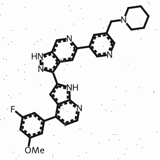 COc1cc(F)cc(-c2ccnc3[nH]c(-c4n[nH]c5cnc(-c6cncc(CN7CCCCC7)c6)cc45)cc23)c1